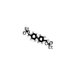 CCC(=O)OCc1ccc(-c2ccc(COC(=O)CC)cc2)cc1